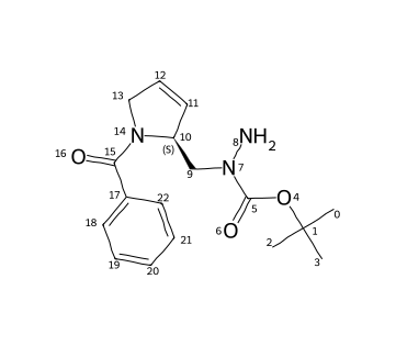 CC(C)(C)OC(=O)N(N)C[C@@H]1C=CCN1C(=O)c1ccccc1